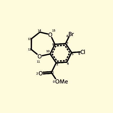 COC(=O)c1cc(Cl)c(Br)c2c1OCCCO2